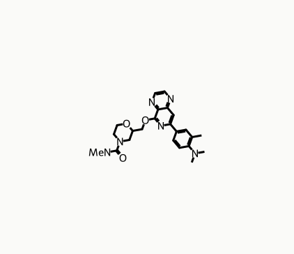 CNC(=O)N1CCOC(COc2nc(-c3ccc(N(C)C)c(C)c3)cc3nccnc23)C1